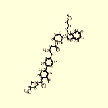 COCCCn1c([C@@H]2CCCN(C(=O)C[C@H](C)Cc3ccc(-c4ccc(C(=O)NCCOC)c(F)c4)cc3)C2)nc2ccccc21